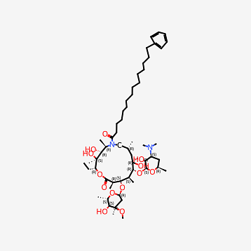 CC[C@H]1OC(=O)[C@H](C)[C@@H](O[C@H]2C[C@@](C)(OC)[C@@H](O)[C@H](C)O2)[C@H](C)[C@@H](O[C@@H]2O[C@H](C)C[C@H](N(C)C)[C@H]2O)[C@](C)(O)C[C@@H](C)CN(C(=O)CCCCCCCCCCCCCCc2ccccc2)[C@H](C)[C@@H](O)[C@]1(C)O